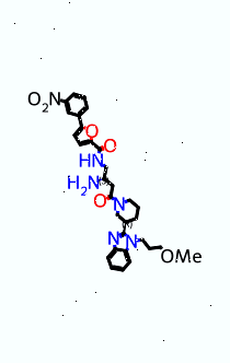 COCCCn1c([C@@H]2CCCN(C(=O)C[C@H](N)CNC(=O)c3ccc(-c4cccc([N+](=O)[O-])c4)o3)C2)nc2ccccc21